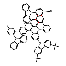 Cc1ccc(-n2c3ccccc3c3ccccc32)c(-c2ccc3c(c2)Nc2cc(-c4cc(C#N)ccc4-n4c5ccccc5c5ccccc54)cc4c2B3c2ccc(-n3c5ccc(C(C)(C)C)cc5c5cc(C(C)(C)C)ccc53)cc2N4c2ccccc2-c2ccccc2)c1